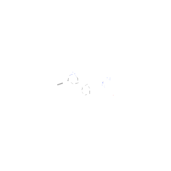 CC#Cc1cncc(-c2ccc3c(c2)C2(COC(N)=N2)[C@]2(CC[C@H](OC)CC2)C3)c1